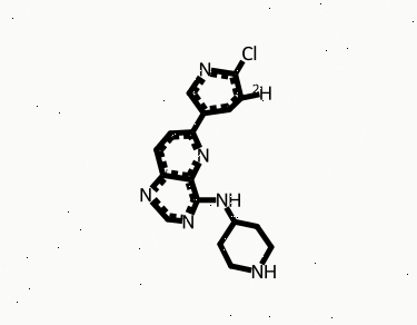 [2H]c1cc(-c2ccc3ncnc(NC4CCNCC4)c3n2)cnc1Cl